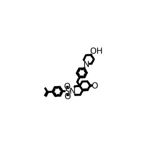 C=C(C)c1ccc(S(=O)(=O)N2CCC3=CC(=O)CCC3(Cc3ccc(N4CCC(O)CC4)cc3)C2)cc1